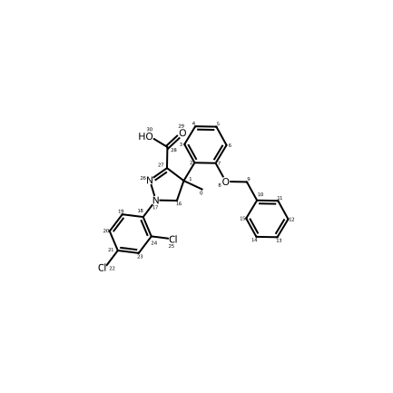 CC1(c2ccccc2OCc2ccccc2)CN(c2ccc(Cl)cc2Cl)N=C1C(=O)O